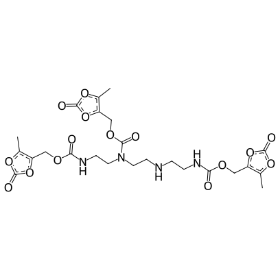 Cc1oc(=O)oc1COC(=O)NCCNCCN(CCNC(=O)OCc1oc(=O)oc1C)C(=O)OCc1oc(=O)oc1C